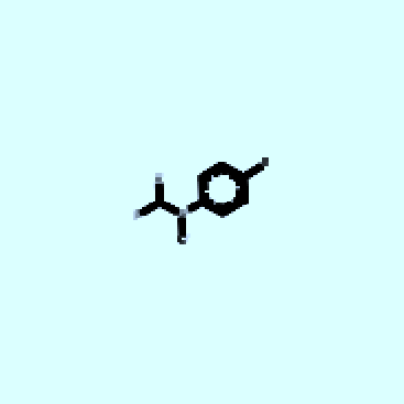 [O-][S+](c1ccc(F)cc1)C(F)F